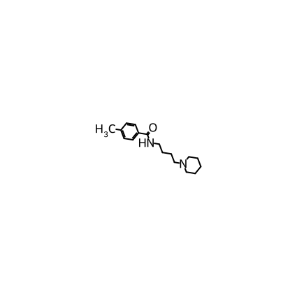 Cc1ccc(C(=O)NCCCCN2CCCCC2)cc1